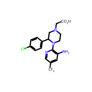 Nc1cc(C(F)(F)F)cnc1N1CCN(CC(=O)O)CC1c1ccc(Cl)cc1